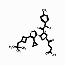 Cc1ccc(N(Cl)C(=O)[C@H]2CN(C(=O)CCC(=O)O)C[C@@H]2c2noc(C3CC(CC(C)(C)C)C3)c2C2CC2)cc1